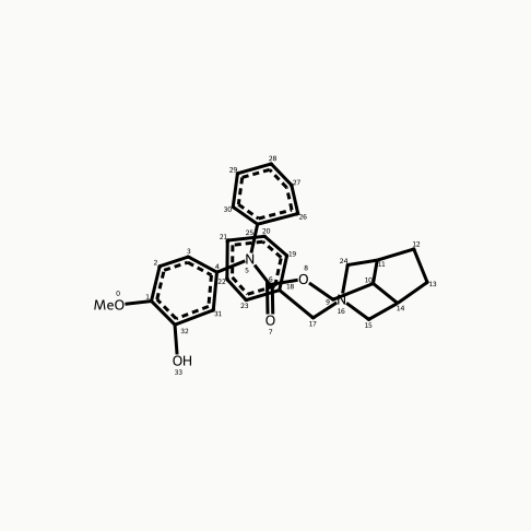 COc1ccc(N(C(=O)OCC2C3CCC2CN(Cc2ccccc2)C3)c2ccccc2)cc1O